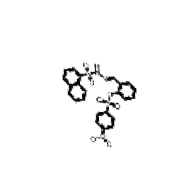 O=[N+]([O-])c1ccc(S(=O)(=O)Oc2ccccc2C=NNS(=O)(=O)c2cccc3ccccc23)cc1